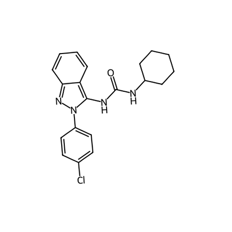 O=C(Nc1c2ccccc2nn1-c1ccc(Cl)cc1)NC1CCCCC1